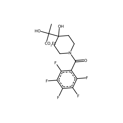 CCOC(=O)C(C)(O)C1(O)CCN(C(=O)c2c(F)c(F)c(F)c(F)c2F)CC1